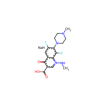 CNn1cc(C(=O)O)c(=O)c2cc(F)c(N3CCN(C)CC3)c(F)c21.[NaH]